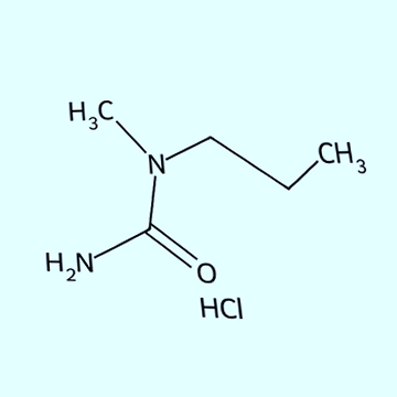 CCCN(C)C(N)=O.Cl